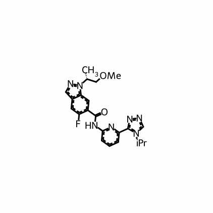 COC[C@@H](C)n1ncc2cc(F)c(C(=O)Nc3cccc(-c4nncn4C(C)C)n3)cc21